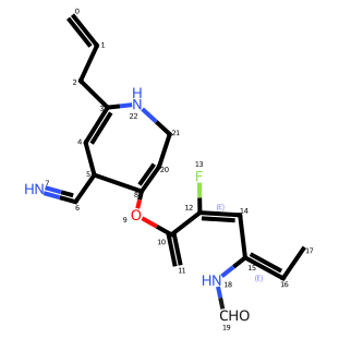 C=CCC1=CC(C=N)C(OC(=C)/C(F)=C\C(=C/C)NC=O)=CCN1